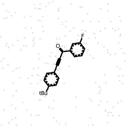 CC(C)(C)c1ccc(C#CC(=O)c2cccc(F)c2)cc1